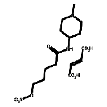 CN1CCC(NC(=O)CCCCO[N+](=O)[O-])CC1.O=C(O)C=CC(=O)O